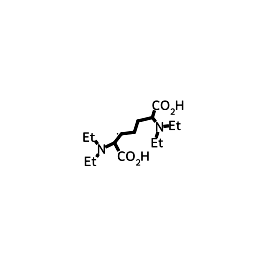 CCN(CC)C([CH]CCC(C(=O)O)N(CC)CC)C(=O)O